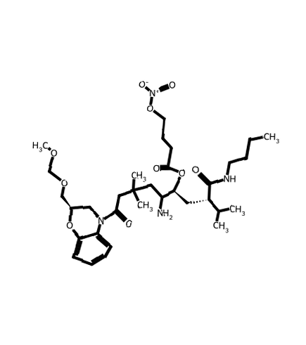 CCCCNC(=O)[C@@H](C[C@H](OC(=O)CCCO[N+](=O)[O-])C(N)CC(C)(C)CC(=O)N1C[C@H](COCOC)Oc2ccccc21)C(C)C